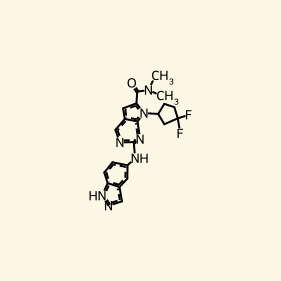 CN(C)C(=O)c1cc2cnc(Nc3ccc4[nH]ncc4c3)nc2n1C1CCC(F)(F)C1